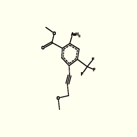 COCC#Cc1cc(C(=O)OC)c([AsH2])cc1C(F)(F)F